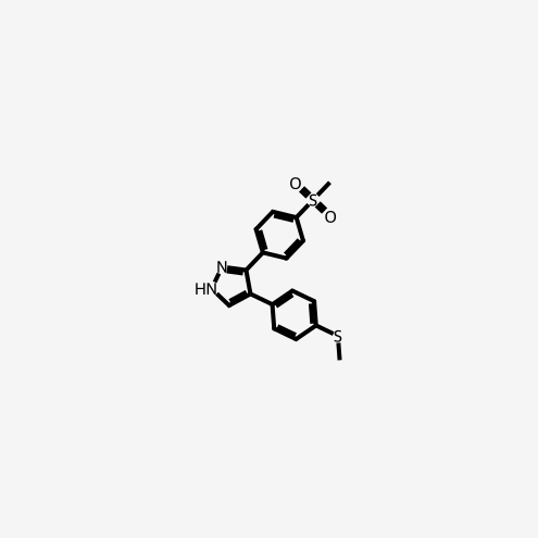 CSc1ccc(-c2c[nH]nc2-c2ccc(S(C)(=O)=O)cc2)cc1